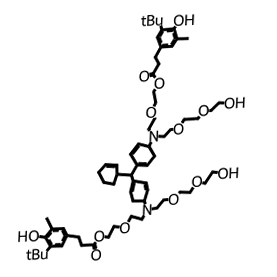 Cc1cc(CCC(=O)OCCOCCN(CCOCCOCCO)C2C=CC(C(C3=CCC(N(CCOCCOCCO)CCOCCOC(=O)CCc4cc(C)c(O)c(C(C)(C)C)c4)C=C3)C3C=CCCC3)=CC2)cc(C(C)(C)C)c1O